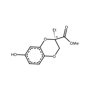 CC[C@]1(C(=O)OC)COc2ccc(O)cc2O1